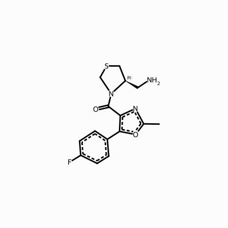 Cc1nc(C(=O)N2CSC[C@H]2CN)c(-c2ccc(F)cc2)o1